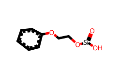 O=[Si](O)OCCOc1ccccc1